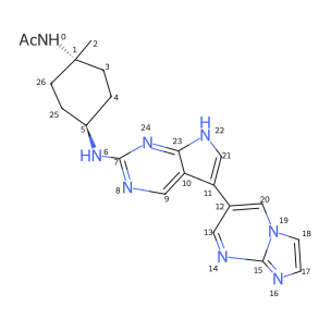 CC(=O)N[C@]1(C)CC[C@@H](Nc2ncc3c(-c4cnc5nccn5c4)c[nH]c3n2)CC1